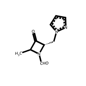 CC1C(=O)[C@H](Cn2cccn2)N1C=O